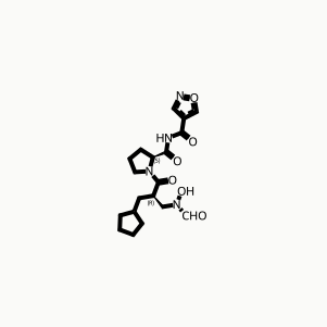 O=CN(O)C[C@@H](CC1CCCC1)C(=O)N1CCC[C@H]1C(=O)NC(=O)c1cnoc1